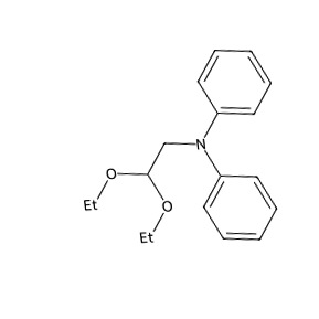 CCOC(CN(c1ccccc1)c1ccccc1)OCC